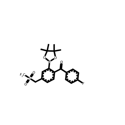 CC1(C)OB(c2cc(CS(=O)(=O)C(F)(F)F)ccc2C(=O)c2ccc(F)cc2)OC1(C)C